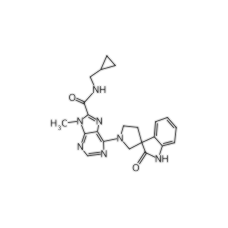 Cn1c(C(=O)NCC2CC2)nc2c(N3CCC4(C3)C(=O)Nc3ccccc34)ncnc21